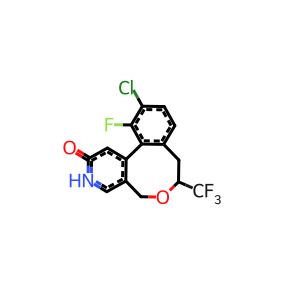 O=c1cc2c(c[nH]1)COC(C(F)(F)F)Cc1ccc(Cl)c(F)c1-2